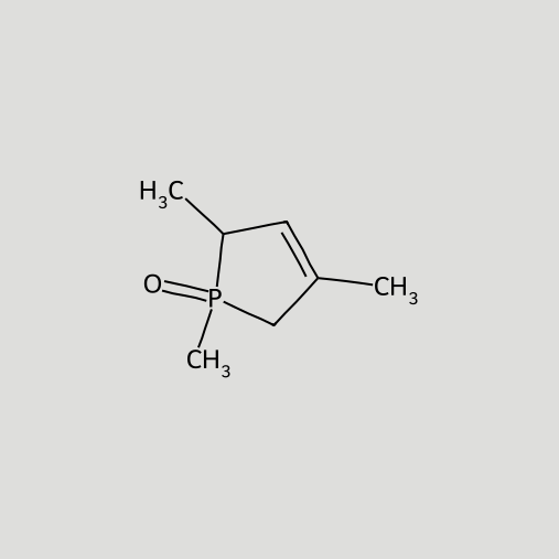 CC1=CC(C)P(C)(=O)C1